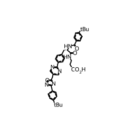 CC(C)(C)c1ccc(C(=O)N[C@@H](Cc2ccc(-c3ncc(-c4nc(-c5ccc(C(C)(C)C)cc5)no4)cn3)cc2)C(=O)NCCC(=O)O)cc1